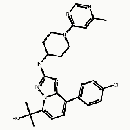 Cc1cc(N2CCC(Nc3nc4c(-c5ccc(Cl)cc5)ccc(C(C)(C)O)n4n3)CC2)ncn1